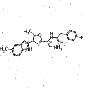 C=C(Cc1ccc(F)cc1)N[C@@H](CN)C1=NC(c2cc3cc(C)ccc3[nH]2)N(C)O1